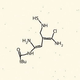 CC(C)(C)C(=O)N/C(N)=C/C(CNS)=C(\N)Cl